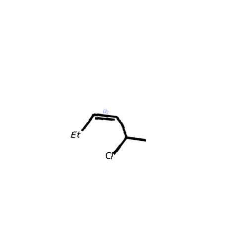 CC/C=C\C(C)Cl